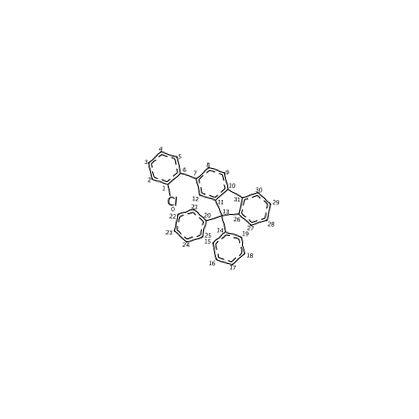 Clc1ccccc1-c1ccc2c(c1)C(c1ccccc1)(c1ccccc1)c1ccccc1-2